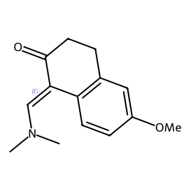 COc1ccc2c(c1)CCC(=O)/C2=C/N(C)C